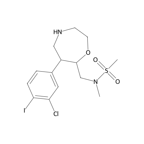 CN(CC1OCCNCC1c1ccc(I)c(Cl)c1)S(C)(=O)=O